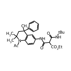 CCOC(=O)C(C(=O)Nc1ccc2c(c1)C(C)(c1ccccc1)CC(C)(C)N2C(C)=O)C(=O)NC(C)(C)C